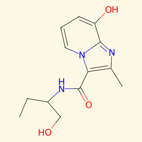 CCC(CO)NC(=O)c1c(C)nc2c(O)cccn12